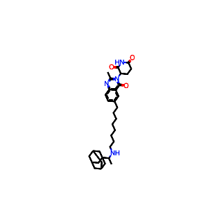 Cc1nc2ccc(CCCCCCCCNC(C)C34CC5CC(CC(C5)C3)C4)cc2c(=O)n1C1CCC(=O)NC1=O